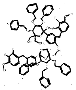 CCOc1ccc(Cc2cc([C@]3(OC)OC(CO)(CO)[C@@H](OCc4ccccc4)[C@H](OCc4ccccc4)[C@H]3OCc3ccccc3)ccc2Cl)c(F)c1F.CCOc1ccc(Cc2cc([C@]34OC[C@](CO)(O3)[C@@H](OCc3ccccc3)[C@H](OCc3ccccc3)[C@H]4OCc3ccccc3)ccc2Cl)c(F)c1F